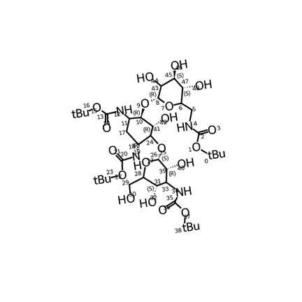 CC(C)(C)OC(=O)NCC1O[C@H](O[C@@H]2C(NC(=O)OC(C)(C)C)C[C@@H](NC(=O)OC(C)(C)C)C(O[C@H]3OC(CO)[C@@H](O)C(NC(=O)OC(C)(C)C)[C@H]3O)[C@H]2O)C(O)[C@@H](O)[C@@H]1O